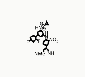 CN/C=C(\C=N)c1ccc(Nc2cc(NS(=O)(=O)C3CC3)cc(-c3ccc(F)cc3F)c2)c([N+](=O)[O-])c1